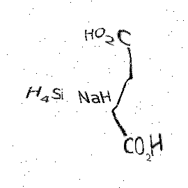 O=C(O)CCC(=O)O.[NaH].[SiH4]